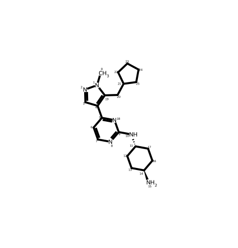 Cn1ncc(-c2ccnc(N[C@H]3CC[C@H](N)CC3)n2)c1CC1CCCC1